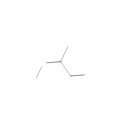 [CH2]OC(C)C[O]